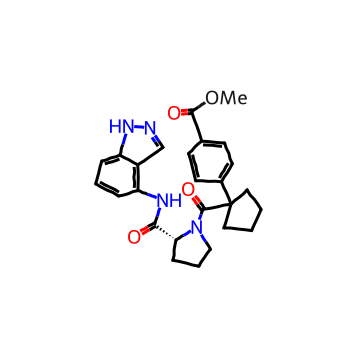 COC(=O)c1ccc(C2(C(=O)N3CCC[C@@H]3C(=O)Nc3cccc4[nH]ncc34)CCCC2)cc1